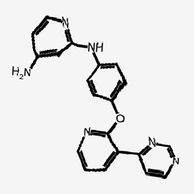 Nc1ccnc(Nc2ccc(Oc3ncccc3-c3ccncn3)cc2)c1